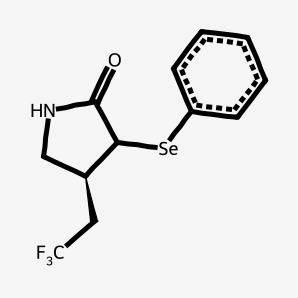 O=C1NC[C@H](CC(F)(F)F)C1[Se]c1ccccc1